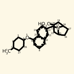 CC1CCC(Oc2cccc3cc(CN4C5CCC4CC(C(=O)O)C5)ccc23)CC1